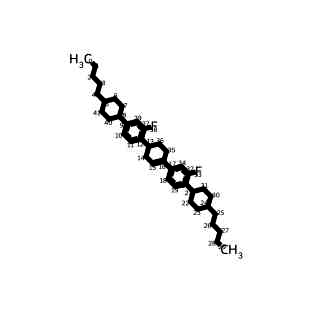 CCCCCC1CCC(c2ccc(C3CC=C(c4ccc(C5CCC(CCCCC)CC5)c(F)c4)CC3)c(F)c2)CC1